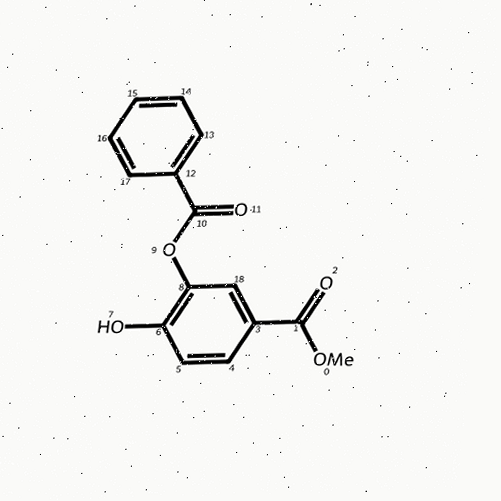 COC(=O)c1ccc(O)c(OC(=O)c2ccccc2)c1